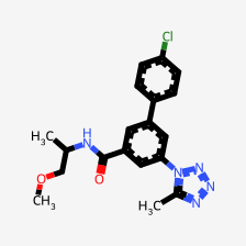 COCC(C)NC(=O)c1cc(-c2ccc(Cl)cc2)cc(-n2nnnc2C)c1